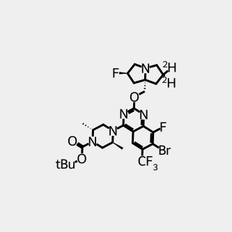 [2H]C1([2H])CN2C[C@H](F)C[C@]2(COc2nc(N3C[C@@H](C)N(C(=O)OC(C)(C)C)C[C@@H]3C)c3cc(C(F)(F)F)c(Br)c(F)c3n2)C1